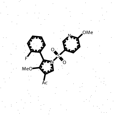 COc1ccc(S(=O)(=O)n2cc(C(C)=O)c(OC)c2-c2ccccc2F)cn1